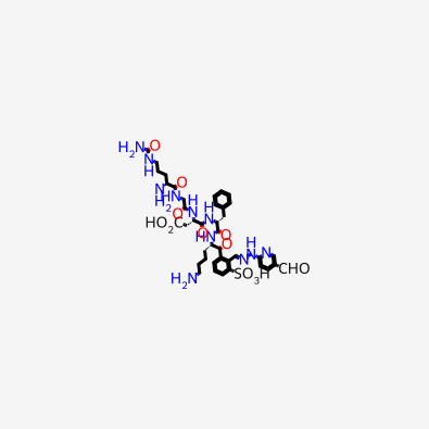 NCCCC[C@H](NC(=O)[C@@H](Cc1ccccc1)NC(=O)[C@H](CC(=O)O)NC(=O)CNC(=O)[C@@H](N)CCCNC(N)=O)C(=O)c1cccc(S(=O)(=O)O)c1C=NNc1ccc(C=O)cn1